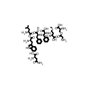 CC(C)C[C@H](N)C(=O)OC(=O)[C@@H](N)Cc1c[nH]c2ccccc12.CSCC[C@H](N)C(=O)O.NC(=O)C[C@H](N)C(=O)O.NCC(=O)OC[C@H](N)C(=O)O.N[C@@H](Cc1ccccc1)C(=O)O.N[C@@H](Cc1ccccc1)C(=O)O